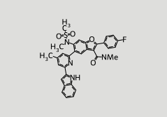 CNC(=O)c1c(-c2ccc(F)cc2)oc2cc(N(C)S(C)(=O)=O)c(-c3cc(C)cc(-c4cc5ccccc5[nH]4)n3)cc12